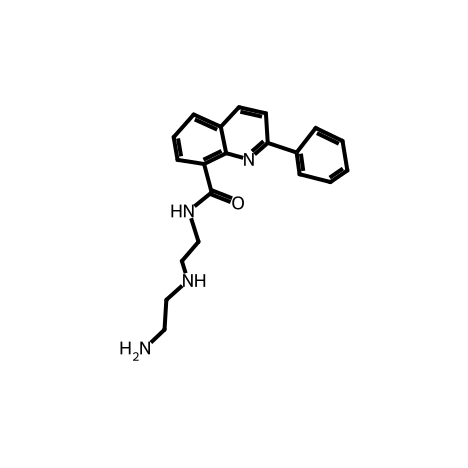 NCCNCCNC(=O)c1cccc2ccc(-c3ccccc3)nc12